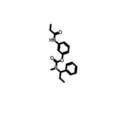 CCC(=O)Nc1cccc(OC(=O)N(C)C(CC)c2ccccc2)c1